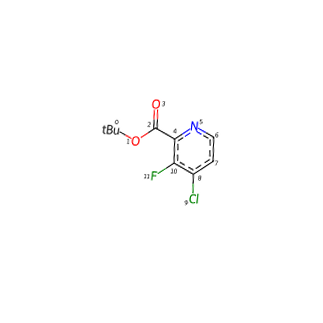 CC(C)(C)OC(=O)c1nccc(Cl)c1F